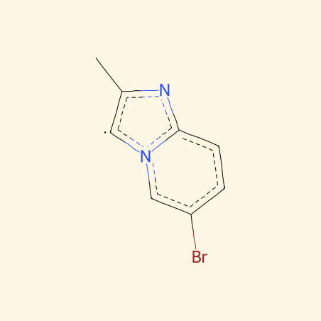 Cc1[c]n2cc(Br)ccc2n1